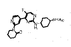 CC(=O)N[C@H]1CC[C@H](Nc2ncc(F)c(-c3ccnc(N4CCCCC4=O)c3)n2)CC1